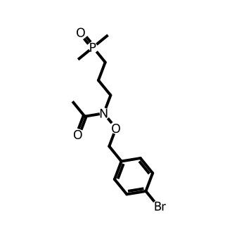 CC(=O)N(CCCP(C)(C)=O)OCc1ccc(Br)cc1